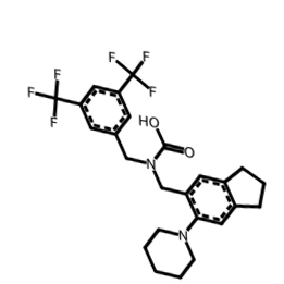 O=C(O)N(Cc1cc(C(F)(F)F)cc(C(F)(F)F)c1)Cc1cc2c(cc1N1CCCCC1)CCC2